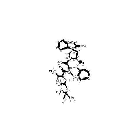 CC(C)C(NC(=O)OC(C)(C)C)C(=O)N(C)[C@@H](Cc1ccccc1)C(=O)N1C[C@]2(C[C@H]1C#N)C(=O)Nc1ccccc12